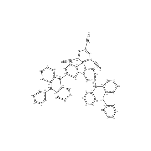 N#CC1=CC(C#N)=P(c2ccc(N3c4ccccc4B(c4ccccc4)c4ccccc43)cc2)(c2ccc(N3c4ccccc4B(c4ccccc4)c4ccccc43)cc2)C(C#N)=C1